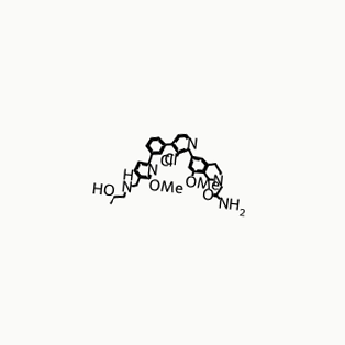 COc1cc(-c2nccc(-c3cccc(-c4ccc(CNC[C@@H](C)O)c(OC)n4)c3Cl)c2Cl)cc2c1CN(CC(N)=O)CC2